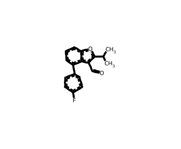 CC(C)c1oc2cccc(-c3ccc(F)cc3)c2c1C=O